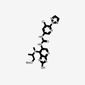 COCC(C)N(C)c1c(NC(=O)Nc2cnc(-n3nccn3)c(Cl)c2)cnc2sc(O)nc12